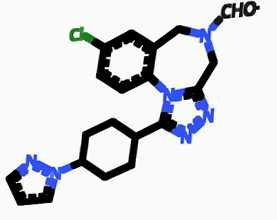 O=[C]N1Cc2cc(Cl)ccc2-n2c(nnc2C2CCC(n3cccn3)CC2)C1